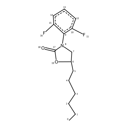 CCCCCCC1CN(c2c(F)cccc2F)C(=O)O1